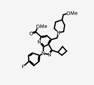 COCC1CCN(Cc2cc(C(=O)OC)nc3c2c(C2CCC2)nn3-c2ccc(F)cc2)CC1